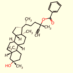 C#C[C@](C)(CC[C@@H](C)[C@H]1CC[C@H]2[C@@H]3CC[C@H]4C[C@@](C)(O)CC[C@]4(C)[C@H]3CC[C@]12C)OC(=O)c1ccccc1